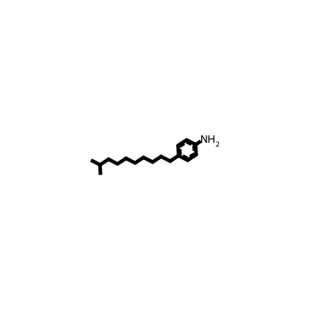 CC(C)CCCCCCCCc1ccc(N)cc1